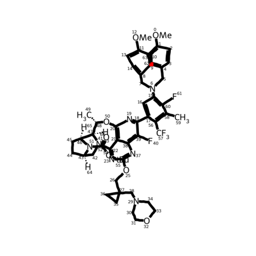 COc1ccc(CN(Cc2ccc(OC)cc2)c2cc(-c3nc4c5c(nc(OCC6(CN7CCOCC7)CC6)nc5c3F)N3C[C@H]5CC[C@@H]([C@H]3[C@H](C)O4)N5C(=O)OC(C)(C)C)c(C(F)(F)F)c(C)c2F)cc1